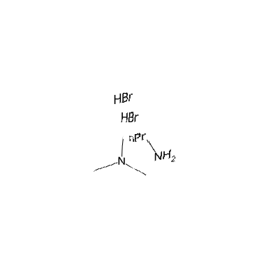 Br.Br.CCCN.CN(C)C